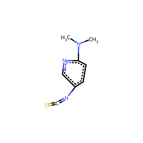 CN(C)c1ccc(N=C=S)cn1